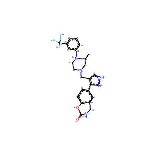 CC1CN(Cc2c[nH]nc2-c2ccc3c(c2)CNC(=O)O3)CCN1c1cccc(C(F)(F)F)c1